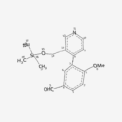 COc1ccc(C=O)cc1-c1ccncc1CO[Si](C)(C)C(C)(C)C